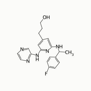 CC(Nc1cc(CCCO)cc(Nc2cnccn2)n1)c1ccc(F)cc1